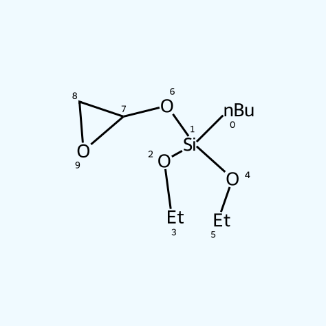 CCCC[Si](OCC)(OCC)OC1CO1